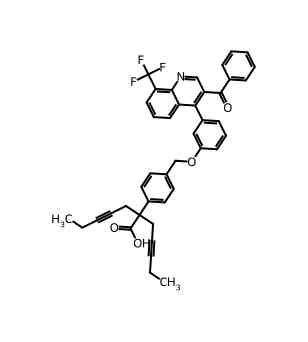 CCC#CCC(CC#CCC)(C(=O)O)c1ccc(COc2cccc(-c3c(C(=O)c4ccccc4)cnc4c(C(F)(F)F)cccc34)c2)cc1